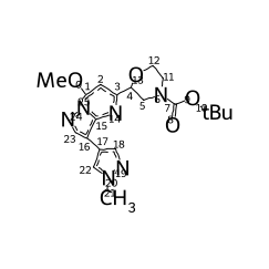 COc1cc(C2CN(C(=O)OC(C)(C)C)CCO2)nc2c(-c3cnn(C)c3)cnn12